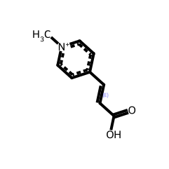 C[n+]1ccc(/C=C/C(=O)O)cc1